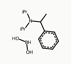 CC(C)N(C(C)C)C(C)c1ccccc1.OBO